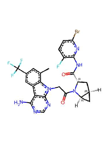 Cc1cc(C(F)(F)F)cc2c3c(N)ncnc3n(CC(=O)N3[C@@H]4C[C@@H]4C[C@H]3C(=O)Nc3nc(Br)ccc3F)c12